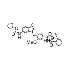 C#Cc1ccccc1S(=O)(=O)NC(=O)c1ccc(Cc2cn(C)c3ccc(NC(=O)OC4CCCC4)cc23)c(OC)c1